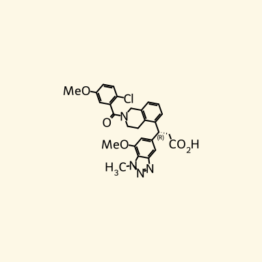 COc1ccc(Cl)c(C(=O)N2CCc3c(cccc3[C@H](CC(=O)O)c3cc(OC)c4c(c3)nnn4C)C2)c1